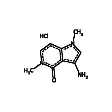 Cl.Cn1ccc2c(c(N)cn2C)c1=O